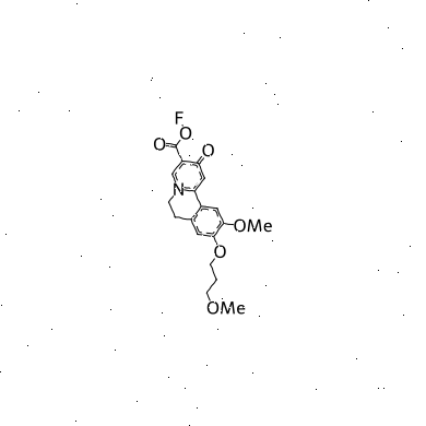 COCCCOc1cc2c(cc1OC)-c1cc(=O)c(C(=O)OF)cn1CC2